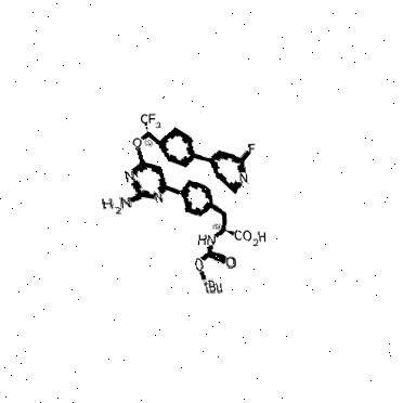 CC(C)(C)OC(=O)N[C@@H](Cc1ccc(-c2cc(O[C@@H](c3ccc(-c4ccnc(F)c4)cc3)C(F)(F)F)nc(N)n2)cc1)C(=O)O